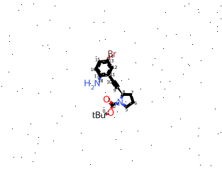 CC(C)(C)OC(=O)N1CCC[C@@H]1C#Cc1cc(Br)ccc1N